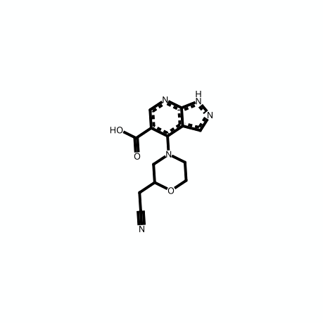 N#CCC1CN(c2c(C(=O)O)cnc3[nH]ncc23)CCO1